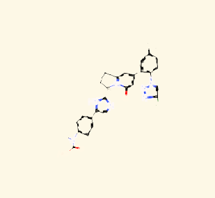 Cc1ccc(-n2cc(Cl)nn2)c(-c2cc3n(c(=O)c2)[C@H](c2ncc(-c4ccc(N(C)C(=O)O)cc4)[nH]2)CC3)c1